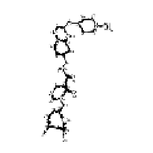 CN1CCC(Oc2cnc3ccc(CNC(=O)c4cncn(Cc5ccc(F)c(F)c5)c4=O)cc3n2)CC1